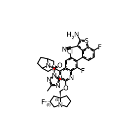 Cc1ncn(C(=O)N2C3CCC2CN(c2nc(OC[C@@]45CCCN4C[C@H](F)C5)nc4c(F)c(-c5ccc(F)c6sc(N)c(C#N)c56)c(Cl)cc24)C3)n1